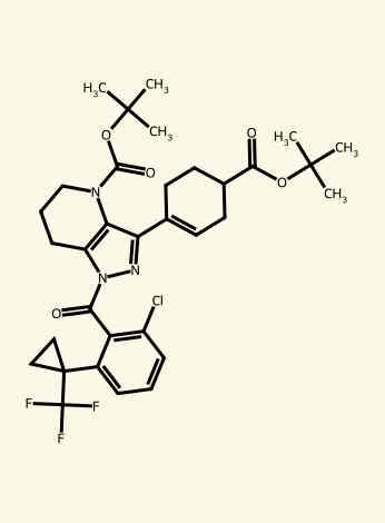 CC(C)(C)OC(=O)C1CC=C(c2nn(C(=O)c3c(Cl)cccc3C3(C(F)(F)F)CC3)c3c2N(C(=O)OC(C)(C)C)CCC3)CC1